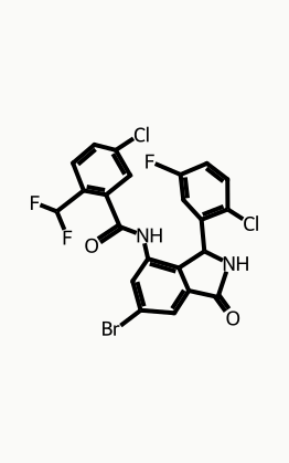 O=C(Nc1cc(Br)cc2c1C(c1cc(F)ccc1Cl)NC2=O)c1cc(Cl)ccc1C(F)F